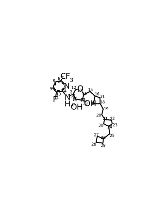 O[C@@H]1[C@@H](Nc2nc(C(F)(F)F)ccc2F)COC(CC2CC(CCC3CCC(CC4CCC4)C3)C2)[C@@H]1O